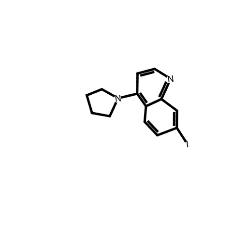 Ic1ccc2c(N3CCCC3)ccnc2c1